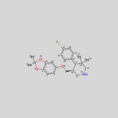 [2H]C1([2H])Oc2ccc(OC[C@@H]3CNCC([2H])([2H])C3c3ccc(F)cc3)cc2O1